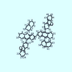 c1ccc2cc(-c3c4ccccc4c(-c4ccc5c(c4)oc4ccccc45)c4ccc(-c5ccc6c(-c7ccc8c(c7)oc7ccccc78)c7ccccc7c(-c7cccc8ccccc78)c6c5)cc34)ccc2c1